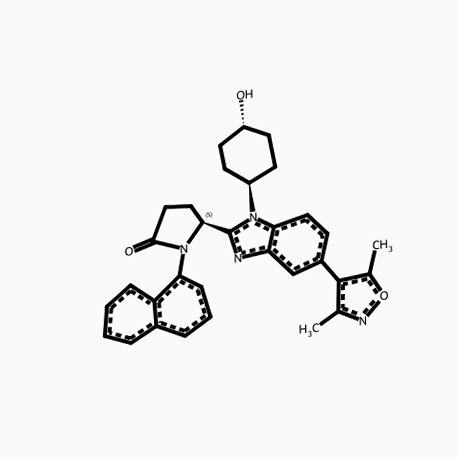 Cc1noc(C)c1-c1ccc2c(c1)nc([C@@H]1CCC(=O)N1c1cccc3ccccc13)n2[C@H]1CC[C@H](O)CC1